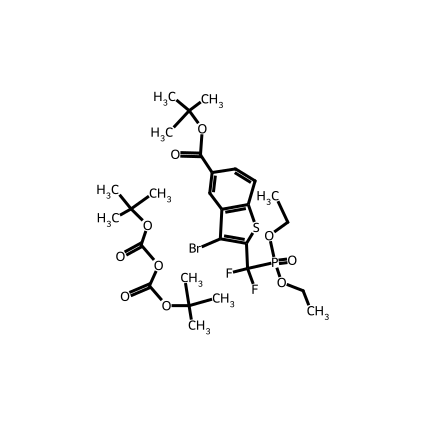 CC(C)(C)OC(=O)OC(=O)OC(C)(C)C.CCOP(=O)(OCC)C(F)(F)c1sc2ccc(C(=O)OC(C)(C)C)cc2c1Br